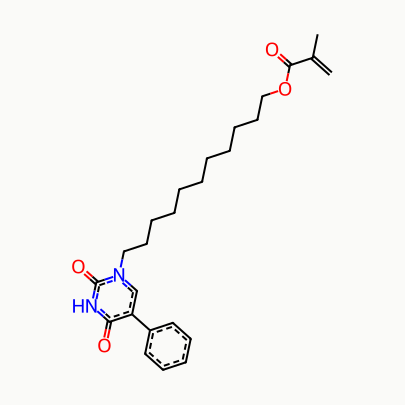 C=C(C)C(=O)OCCCCCCCCCCCn1cc(-c2ccccc2)c(=O)[nH]c1=O